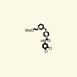 COCCN1CCC[C@@H](CN2CCN(C(=O)Nc3ccc(Cl)c(Cl)c3)CC2)C1